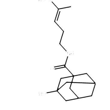 CC(=CCCNC(=O)C12CC3CC(CC(O)(C3)C1)C2)C(=O)O